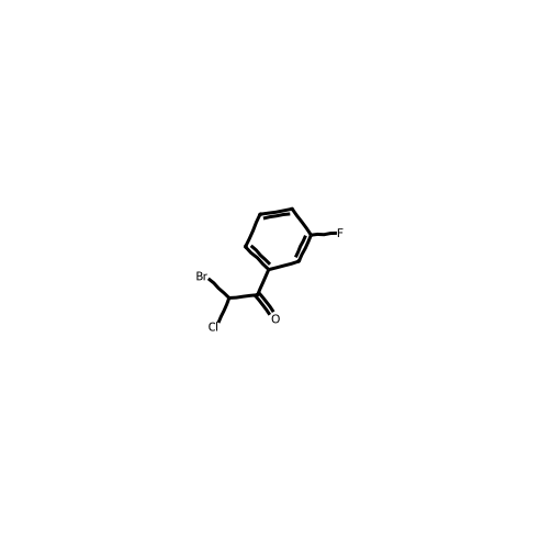 O=C(c1cccc(F)c1)C(Cl)Br